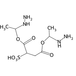 CC(NN)OC(=O)CC(C(=O)OC(C)NN)S(=O)(=O)O